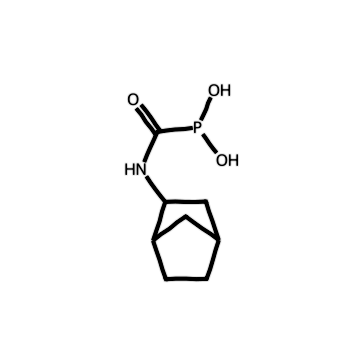 O=C(NC1CC2CCC1C2)P(O)O